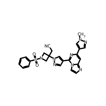 Cn1cc(-c2cc3nccn3c(-c3cnn(C4(CC#N)CN(S(=O)(=O)c5ccccc5)C4)c3)n2)cn1